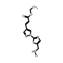 CCOC(=O)/C=C/c1cnn(-c2ncc(CNCl)s2)c1